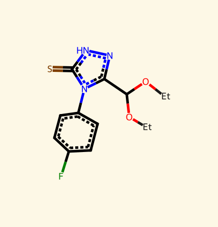 CCOC(OCC)c1n[nH]c(=S)n1-c1ccc(F)cc1